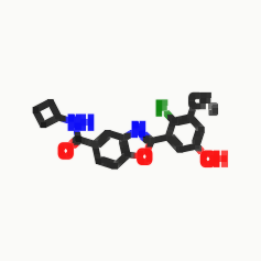 O=C(NC1CCC1)c1ccc2oc(-c3cc(O)cc(C(F)(F)F)c3F)nc2c1